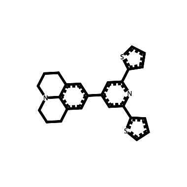 c1csc(-c2cc(-c3cc4c5c(c3)CCCN5CCC4)cc(-c3cccs3)n2)c1